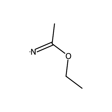 CCOC(C)=[N]